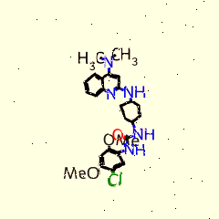 COc1cc(OC)c(NC(=O)NC2CCC(Nc3cc(N(C)C)c4ccccc4n3)CC2)cc1Cl